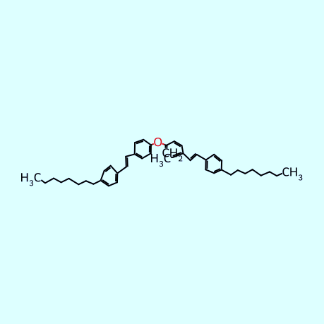 C=C(\C=C/C(=C\C)/C=C/c1ccc(CCCCCCCC)cc1)Oc1ccc(/C=C/c2ccc(CCCCCCCC)cc2)cc1